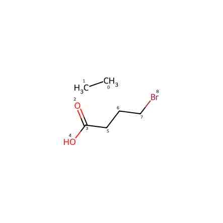 CC.O=C(O)CCCBr